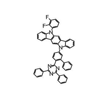 Fc1cccc(-n2c3ccccc3c3cc4c(cc32)c2ccccc2n4-c2ccc(-c3nc(-c4ccccc4)nc(-c4ccccc4)n3)c(-c3ccccc3)c2)c1F